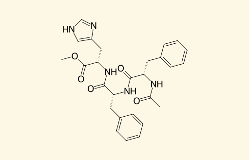 COC(=O)[C@H](Cc1c[nH]cn1)NC(=O)[C@@H](Cc1ccccc1)NC(=O)[C@H](Cc1ccccc1)NC(C)=O